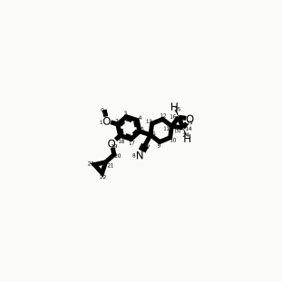 COc1ccc(C2(C#N)CCC3(CC2)[C@@H]2O[C@@H]23)cc1OCC1CC1